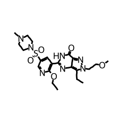 CCOc1ncc(S(=O)(=O)N2CCN(C)CC2)cc1-c1nc2c(CC)n(CCOC)nc2c(=O)[nH]1